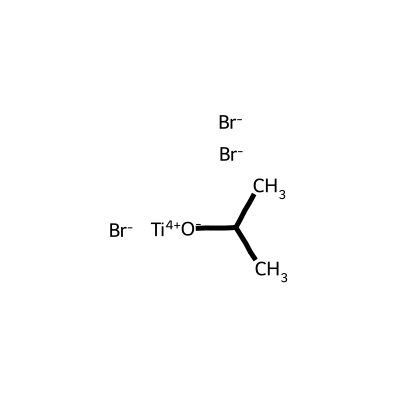 CC(C)[O-].[Br-].[Br-].[Br-].[Ti+4]